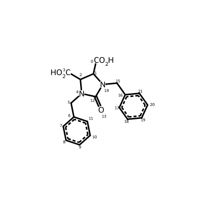 O=C(O)C1C(C(=O)O)N(Cc2ccccc2)C(=O)N1Cc1ccccc1